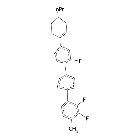 CCCC1CC=C(c2ccc(-c3ccc(-c4ccc(C)c(F)c4F)cc3)c(F)c2)CC1